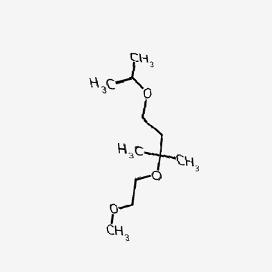 COCCOC(C)(C)CCOC(C)C